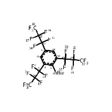 CCC[CH]c1c(C(F)(F)C(F)(F)C(F)(F)F)cc(C(F)(F)C(F)(F)C(F)(F)F)cc1C(F)(F)C(F)(F)C(F)(F)F